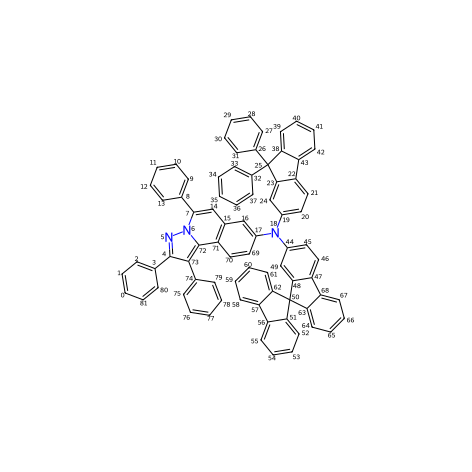 c1ccc(-c2nn3c(-c4ccccc4)cc4cc(N(c5ccc6c(c5)C(c5ccccc5)(c5ccccc5)c5ccccc5-6)c5ccc6c(c5)C5(c7ccccc7-c7ccccc75)c5ccccc5-6)ccc4c3c2-c2ccccc2)cc1